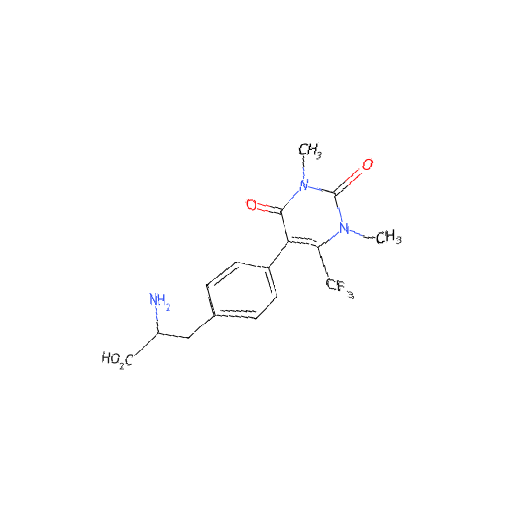 Cn1c(C(F)(F)F)c(-c2ccc(CC(N)C(=O)O)cc2)c(=O)n(C)c1=O